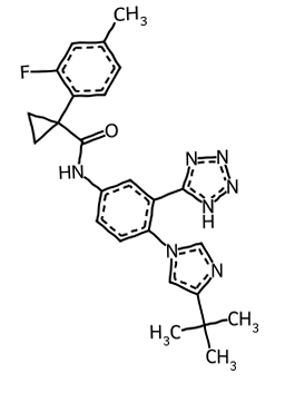 Cc1ccc(C2(C(=O)Nc3ccc(-n4cnc(C(C)(C)C)c4)c(-c4nnn[nH]4)c3)CC2)c(F)c1